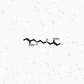 C/C=C(/CNCCNC/C(=C/C)NC)NC